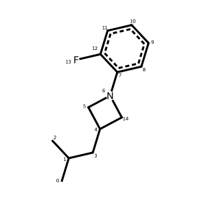 CC(C)CC1CN(c2ccccc2F)C1